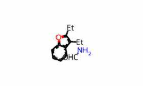 CCc1oc2ccccc2c1CC.NC=O